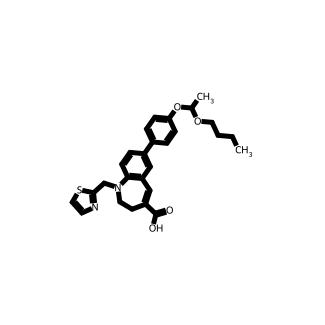 CCCCOC(C)Oc1ccc(-c2ccc3c(c2)C=C(C(=O)O)CCN3Cc2nccs2)cc1